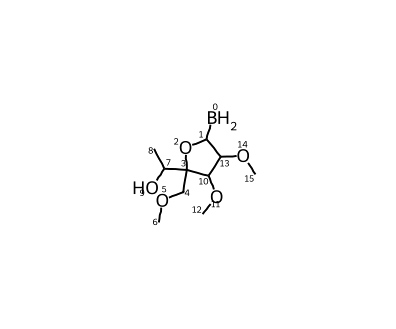 BC1OC(COC)(C(C)O)C(OC)C1OC